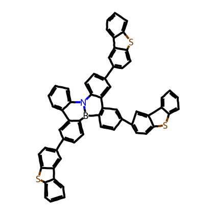 c1ccc2c(c1)-c1cc(-c3ccc4sc5ccccc5c4c3)ccc1B1c3ccc(-c4ccc5sc6ccccc6c5c4)cc3-c3cc(-c4ccc5sc6ccccc6c5c4)ccc3N12